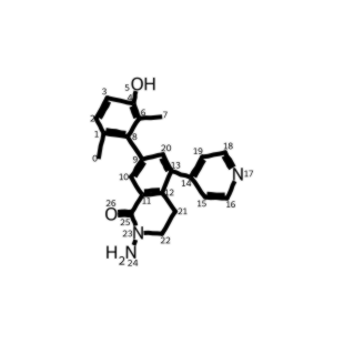 Cc1ccc(O)c(C)c1-c1cc2c(c(-c3ccncc3)c1)CCN(N)C2=O